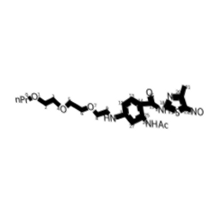 CCCOCCOCCOCCNc1ccc(C(=O)Nc2nc(C)c(N=O)s2)c(NC(C)=O)c1